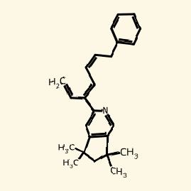 C=C/C(=C\C=C/Cc1ccccc1)c1cc2c(cn1)C(C)(C)CC2(C)C